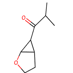 CC(C)C(=O)C1C2CCOC21